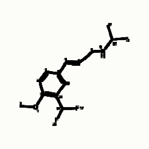 COc1ccc(C=CCNC(C)C)cc1C(F)F